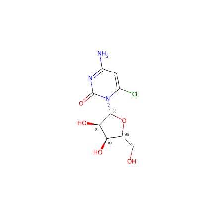 Nc1cc(Cl)n([C@@H]2O[C@H](CO)[C@@H](O)[C@H]2O)c(=O)n1